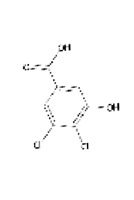 O=C(O)c1cc(O)c(Cl)c(Cl)c1